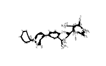 CC(NC(=O)c1[nH]c(=O)[nH]c(=O)c1N)c1cccc(-c2cnn(C3CCCC3)c2)c1